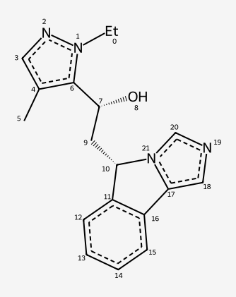 CCn1ncc(C)c1[C@H](O)C[C@H]1c2ccccc2-c2cncn21